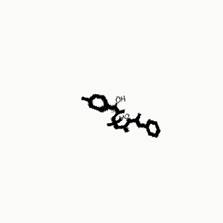 CC1CCC([C@@H](O)C(C)CC(C)(C)CC(C)C(O)C(C)CC2CCCCC2)CC1